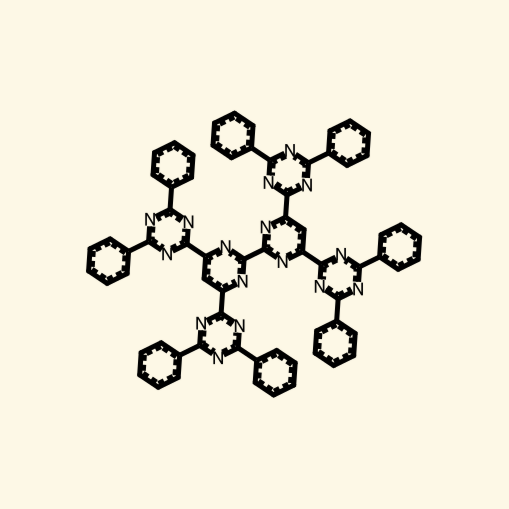 c1ccc(-c2nc(-c3ccccc3)nc(-c3cc(-c4nc(-c5ccccc5)nc(-c5ccccc5)n4)nc(-c4nc(-c5nc(-c6ccccc6)nc(-c6ccccc6)n5)cc(-c5nc(-c6ccccc6)nc(-c6ccccc6)n5)n4)n3)n2)cc1